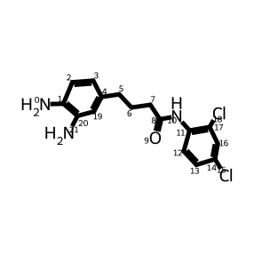 Nc1ccc(CCCC(=O)Nc2ccc(Cl)cc2Cl)cc1N